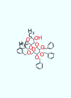 CC1O[C@@H](C)[C@@H](O)C(O[C@@H]2OC(COCc3ccccc3)[C@H](OCc3ccccc3)[C@H](OCc3ccccc3)C2OCc2ccccc2)[C@H]1OCc1ccccc1